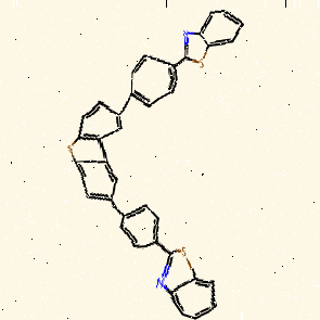 c1ccc2sc(-c3ccc(-c4ccc5sc6ccc(-c7ccc(-c8nc9ccccc9s8)cc7)cc6c5c4)cc3)nc2c1